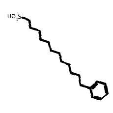 O=S(=O)(O)CCCCCCCCCCCCc1ccccc1